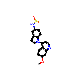 COc1ccc2c(-n3ccc4cc(N[SH](=O)=O)ccc43)ccnc2c1